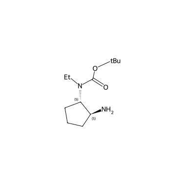 CCN(C(=O)OC(C)(C)C)[C@H]1CCC[C@@H]1N